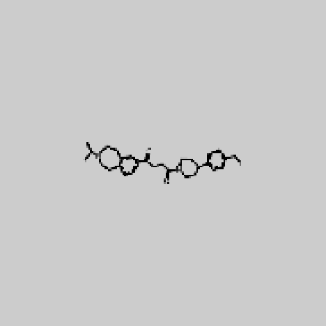 CC(C)N1CCc2ccc(C(=O)CCC(=O)N3CCC(c4ccc(CI)cc4)CC3)cc2CC1